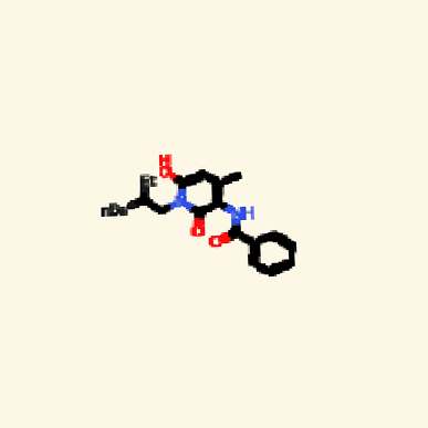 CCCCC(CC)Cn1c(O)cc(C)c(NC(=O)c2ccccc2)c1=O